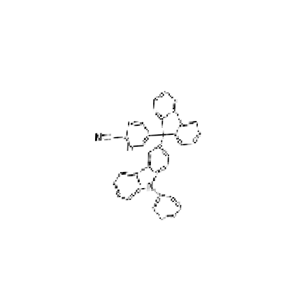 N#Cc1ccc(C2(c3ccc4c(c3)c3ccccc3n4-c3ccccc3)c3ccccc3-c3ccccc32)cn1